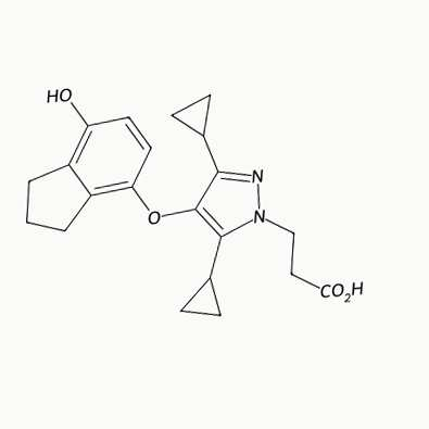 O=C(O)CCn1nc(C2CC2)c(Oc2ccc(O)c3c2CCC3)c1C1CC1